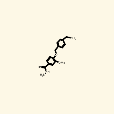 COc1cc(C(=N)NN)ccc1OCc1ccc(CN)cc1